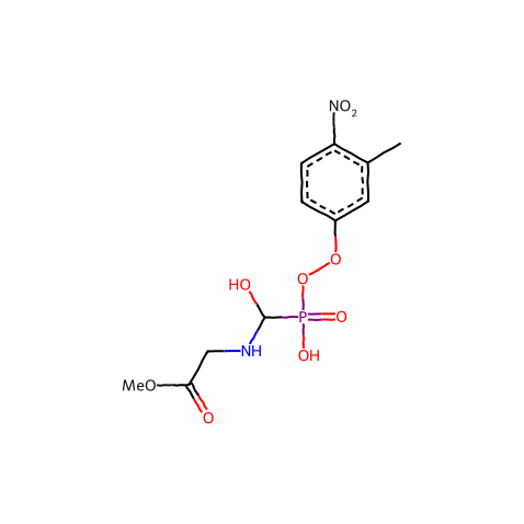 COC(=O)CNC(O)P(=O)(O)OOc1ccc([N+](=O)[O-])c(C)c1